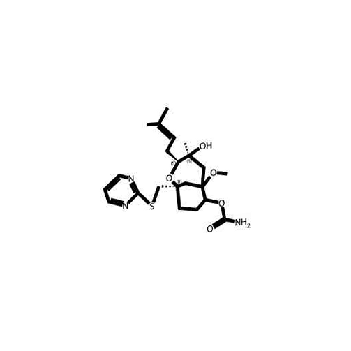 COC12C[C@@](CSc3ncccn3)(CCC1OC(N)=O)O[C@@H](CC=C(C)C)[C@@](C)(O)C2